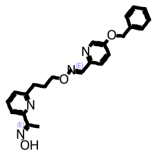 C/C(=N\O)c1cccc(CCCO/N=C/c2ccc(OCc3ccccc3)cn2)n1